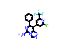 Nc1nc(-c2ccccc2)c(-c2cc(Cl)nc(C(F)(F)F)c2)c2nncn12